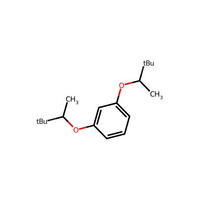 CC(Oc1cccc(OC(C)C(C)(C)C)c1)C(C)(C)C